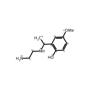 COc1ccc(O)c(C(C)NCCN)c1